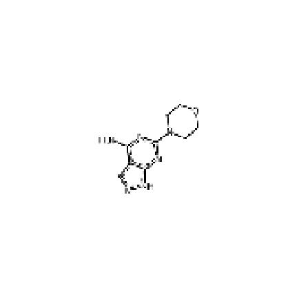 Nc1nc(N2CCOCC2)nc2[nH]ncc12